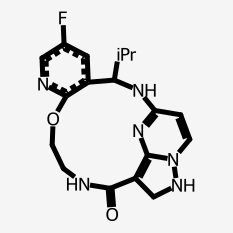 CC(C)C1NC2=NC3=C(CNN3C=C2)C(=O)NCCOc2ncc(F)cc21